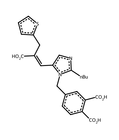 CCCCc1ncc(C=C(Cc2cccs2)C(=O)O)n1Cc1ccc(C(=O)O)c(C(=O)O)c1